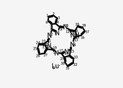 [Lu].c1ccc2c(c1)-c1nc-2nc2[nH]c(nc3nc(nc4[nH]c(n1)c1ccccc41)-c1ccccc1-3)c1ccccc21